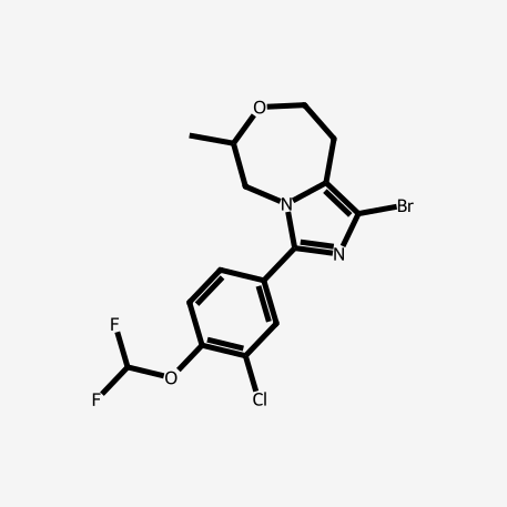 CC1Cn2c(-c3ccc(OC(F)F)c(Cl)c3)nc(Br)c2CCO1